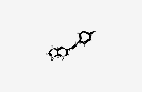 Fc1ccc(C#Cc2cnc3ncoc3c2)cc1